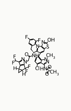 Cn1nc(NS(C)(=O)=O)c2c(Cl)ccc(-c3cc4sc(O)nc4nc3[C@H](Cc3cc(F)cc(F)c3)NC(=O)Cn3nc(C(F)F)c4c3C(F)(F)[C@@H]3C[C@H]43)c21